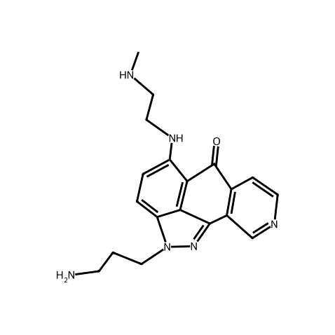 CNCCNc1ccc2c3c(nn2CCCN)-c2cnccc2C(=O)c13